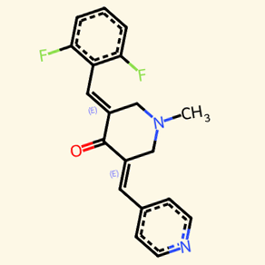 CN1C/C(=C\c2ccncc2)C(=O)/C(=C/c2c(F)cccc2F)C1